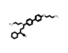 CCCCOc1ccc(-c2ccc([C@H](CCCC)CCC(C#N)C3CCCCC3)cc2)cc1